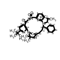 CC(C)CN1c2cccc(n2)S(=O)(=O)NC(=O)c2ccc(C(C)(C)C)nc2N2C[C@@H](CCC1c1ccccc1)CC2(C)C